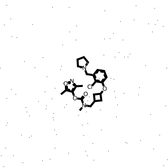 Cc1noc(C)c1OC(=O)N(C)CC1CC(Oc2cccc(CN3CCCC3)c2Cl)C1